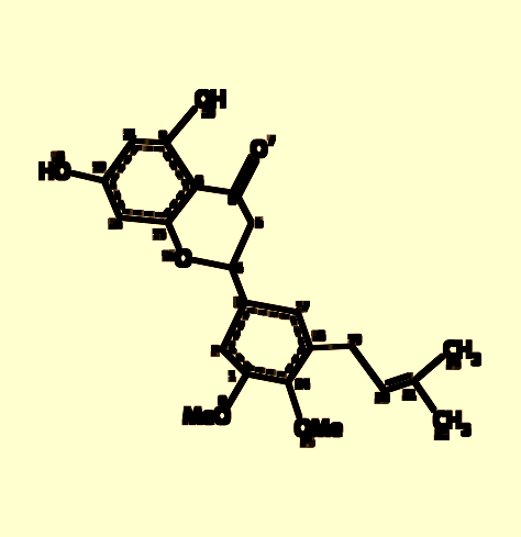 COc1cc(C2CC(=O)c3c(O)cc(O)cc3O2)cc(CC=C(C)C)c1OC